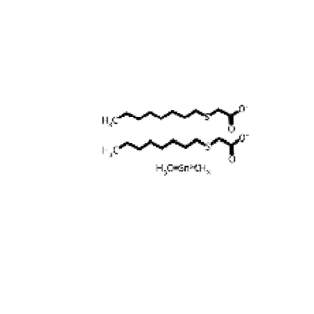 CCCCCCCCSCC(=O)[O-].CCCCCCCCSCC(=O)[O-].[CH3][Sn+2][CH3]